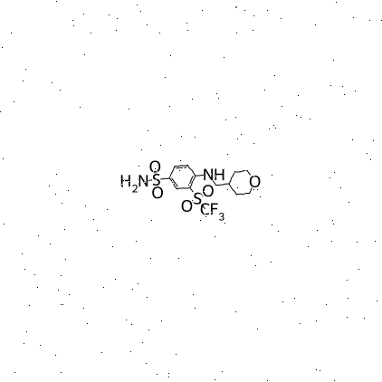 NS(=O)(=O)c1ccc(NCC2CCOCC2)c(S(=O)(=O)C(F)(F)F)c1